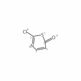 O=c1ccnc(Cl)s1